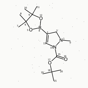 CN1CC(B2OC(C)(C)C(C)(C)O2)=CN1C(=O)OC(C)(C)C